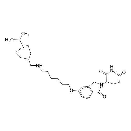 CC(C)N1CCC(CNCCCCCCOc2ccc3c(c2)CN(C2CCC(=O)NC2=O)C3=O)CC1